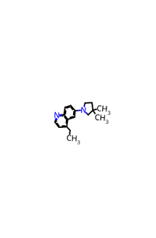 CCc1ccnc2ccc(N3CCC(C)(C)C3)cc12